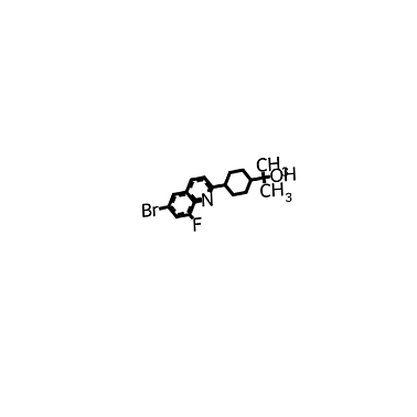 CC(C)(O)C1CCC(c2ccc3cc(Br)cc(F)c3n2)CC1